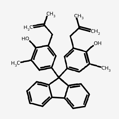 C=C(C)Cc1cc(C2(c3cc(C)c(O)c(CC(=C)C)c3)c3ccccc3-c3ccccc32)cc(C)c1O